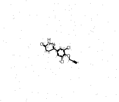 C#CCOc1c(Cl)cc(C2=NNC(=O)CC2)cc1Cl